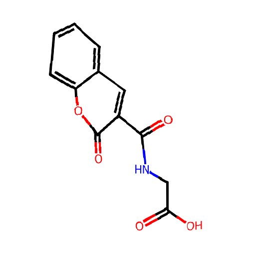 O=C(O)CNC(=O)c1cc2ccccc2oc1=O